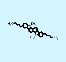 CCCCCc1ccc2c(c1)c1ccc3c(ccc4c5cc(CCCCC)ccc5n(C)c43)c1n2C